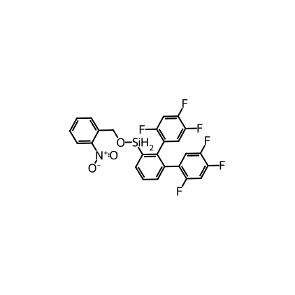 O=[N+]([O-])c1ccccc1CO[SiH2]c1cccc(-c2cc(F)c(F)cc2F)c1-c1cc(F)c(F)cc1F